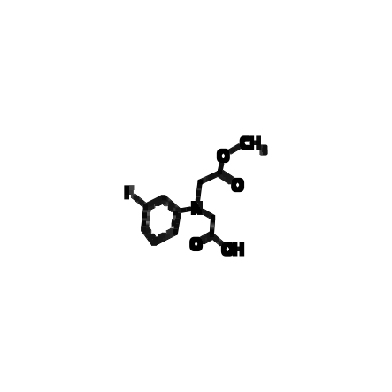 COC(=O)CN(CC(=O)O)c1cccc(F)c1